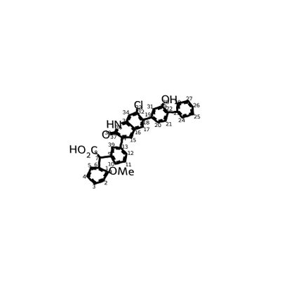 COc1ccccc1C(C(=O)O)c1cccc(-c2cc3cc(-c4ccc(-c5ccccc5)c(O)c4)c(Cl)cc3[nH]c2=O)c1